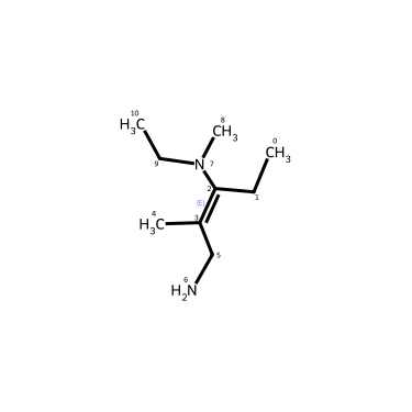 CC/C(=C(/C)CN)N(C)CC